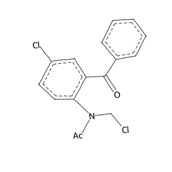 CC(=O)N(CCl)c1ccc(Cl)cc1C(=O)c1ccccc1